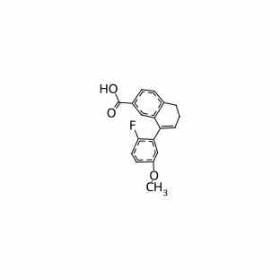 COc1ccc(F)c(C2=CCCc3ccc(C(=O)O)cc32)c1